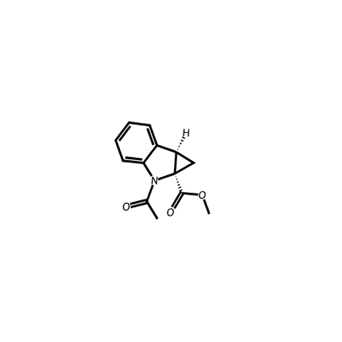 COC(=O)[C@@]12C[C@@H]1c1ccccc1N2C(C)=O